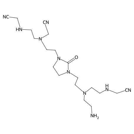 N#CCNCCN(CC#N)CCN1CCN(CCN(CCN)CCNCC#N)C1=O